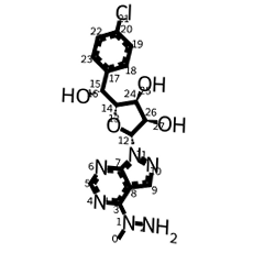 CN(N)c1ncnc2c1cnn2[C@@H]1O[C@H]([C@H](O)c2ccc(Cl)cc2)[C@@H](O)[C@H]1O